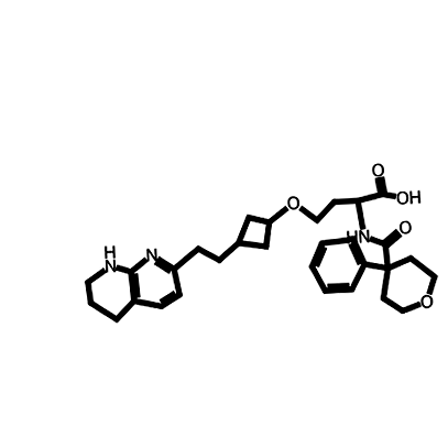 O=C(O)C(CCOC1CC(CCc2ccc3c(n2)NCCC3)C1)NC(=O)C1(c2ccccc2)CCOCC1